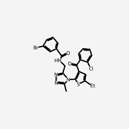 CCc1cc(C(=O)c2ccccc2Cl)c(-n2c(C)nnc2CNC(=O)c2cccc(Br)c2)s1